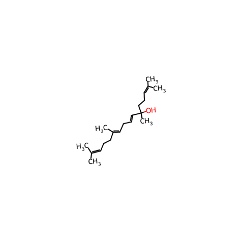 CC(C)=CCC/C(C)=C/CC=CC(C)(O)CCC=C(C)C